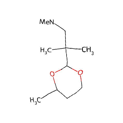 CNCC(C)(C)C1OCCC(C)O1